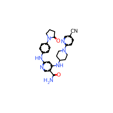 N#Cc1ccc(N2CCC(Nc3cc(Nc4ccc(N5CCCC5=O)cc4)ncc3C(N)=O)CC2)nc1